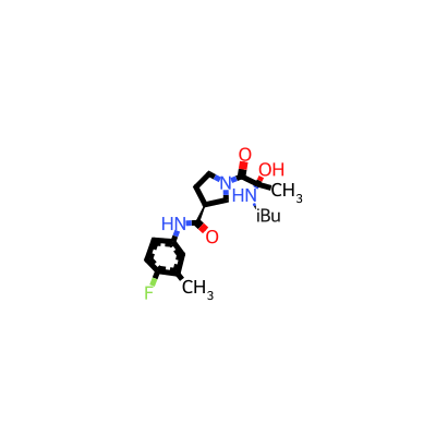 CC[C@@H](C)NC(C)(O)C(=O)N1CC[C@H](C(=O)Nc2ccc(F)c(C)c2)C1